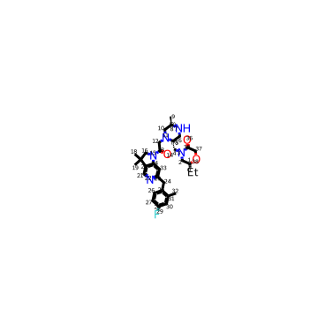 CCC1CN(C[C@H]2CN[C@H](C)CN2CC(=O)N2CC(C)(C)c3cnc(Cc4ccc(F)cc4C)cc32)C(=O)CO1